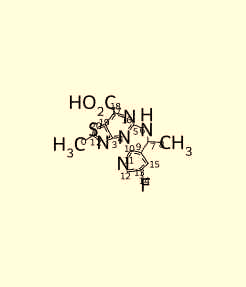 Cc1nc2nc(NC(C)c3cncc(F)c3)nc(C(=O)O)c2s1